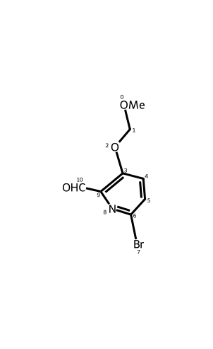 COCOc1ccc(Br)nc1C=O